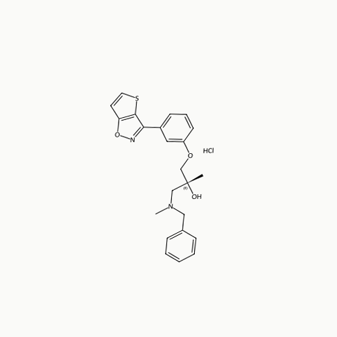 CN(Cc1ccccc1)C[C@@](C)(O)COc1cccc(-c2noc3ccsc23)c1.Cl